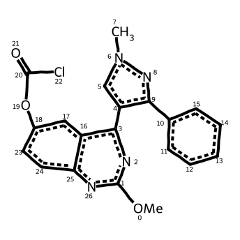 COc1nc(-c2cn(C)nc2-c2ccccc2)c2cc(OC(=O)Cl)ccc2n1